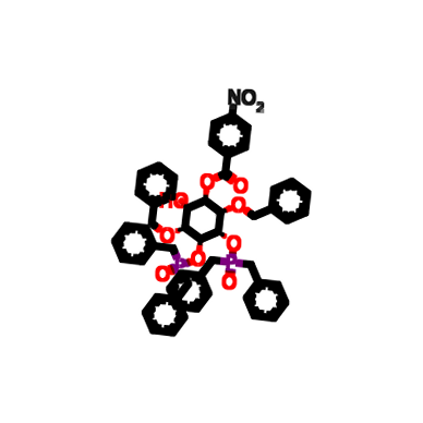 O=C(O[C@@H]1[C@H](O)[C@@H](OCc2ccccc2)[C@H](OP(=O)(Cc2ccccc2)Cc2ccccc2)[C@@H](OP(=O)(Cc2ccccc2)Cc2ccccc2)[C@@H]1OCc1ccccc1)c1ccc([N+](=O)[O-])cc1